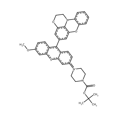 COc1ccc2c(-c3cc4c5c(c3)Oc3ccccc3N5CCO4)c3ccc(=[N+]4CCN(C(=O)OC(C)(C)C)CC4)cc-3sc2c1